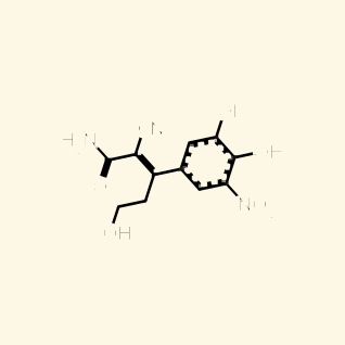 N#C/C(C(N)=O)=C(/CCO)c1cc(O)c(O)c([N+](=O)[O-])c1